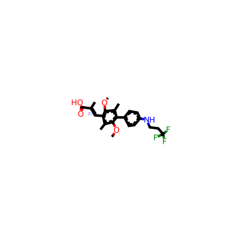 COc1c(C)c(-c2ccc(NCCC(F)(F)F)cc2)c(OC)c(C)c1/C=C(\C)C(=O)O